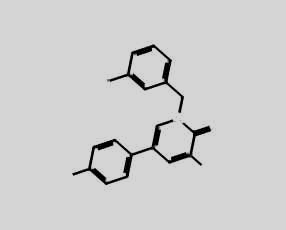 O=c1c(O)cc(-c2ccc(F)cc2)cn1Cc1cccc(Cl)c1